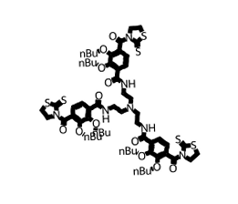 CCCCOc1c(C(=O)NCCN(CCNC(=O)c2ccc(C(=O)N3CCSC3=S)c(OCCCC)c2OCCCC)CCNC(=O)c2ccc(C(=O)N3CCSC3=S)c(OCCCC)c2OCCCC)ccc(C(=O)N2CCSC2=S)c1OCCCC